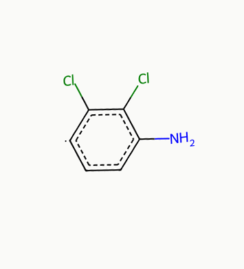 Nc1cc[c]c(Cl)c1Cl